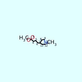 COC(=O)CCCC1CCN(C)CC1